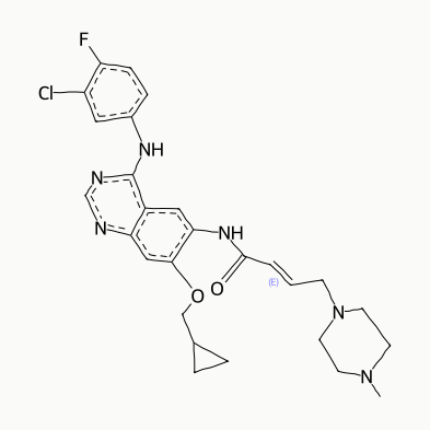 CN1CCN(C/C=C/C(=O)Nc2cc3c(Nc4ccc(F)c(Cl)c4)ncnc3cc2OCC2CC2)CC1